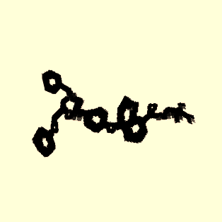 O=C(NCC(F)(F)F)c1cccc2c(Oc3ccc(CCN(Cc4ccccc4)CC(O)COc4ccccc4)cc3)ccnc12